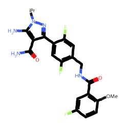 COc1ccc(F)cc1C(=O)NCc1cc(F)c(-c2nn(C(C)C)c(N)c2C(N)=O)cc1F